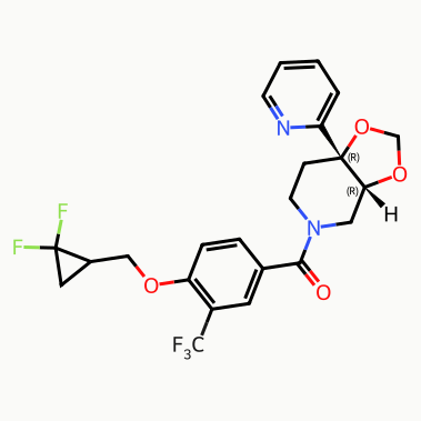 O=C(c1ccc(OCC2CC2(F)F)c(C(F)(F)F)c1)N1CC[C@]2(c3ccccn3)OCO[C@@H]2C1